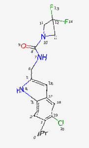 CC(C)c1cc2[nH]c(CNC(=O)N3CC(F)(F)C3)cc2cc1Cl